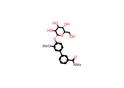 CNC(=O)c1cccc(-c2ccc(O[C@H]3OC(CO)[C@@H](O)C(O)C3O)c(OC)c2)c1